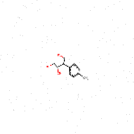 Cc1ccc(C(CO)C(O)CO)cc1